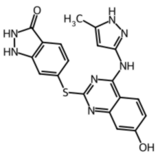 Cc1cc(Nc2nc(Sc3ccc4c(=O)[nH][nH]c4c3)nc3cc(O)ccc23)n[nH]1